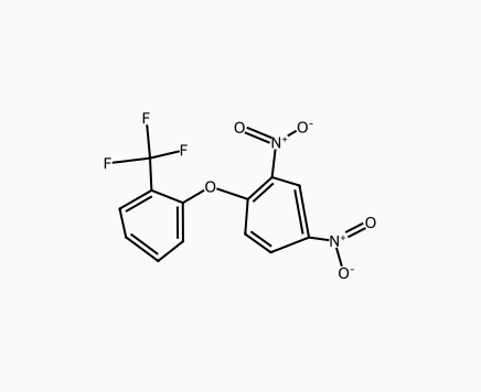 O=[N+]([O-])c1ccc(Oc2ccccc2C(F)(F)F)c([N+](=O)[O-])c1